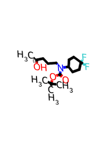 C[C@H](O)CCCN(C(=O)OC(C)(C)C)C1CCC(F)(F)CC1